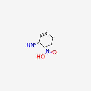 N=C1C#CCCC1.O=NO